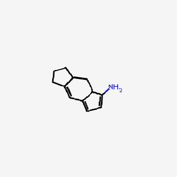 NC1=CC=C2C=C3CCCC3CC12